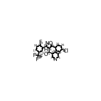 OC(c1cccnc1)c1c(-c2cc(C(F)(F)F)ccc2F)noc1-c1ccc(Cl)cc1